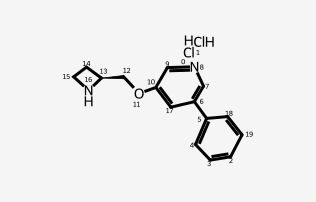 Cl.Cl.c1ccc(-c2cncc(OC[C@@H]3CCN3)c2)cc1